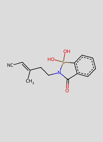 C/C(=C\C#N)CCN1C(=O)c2ccccc2S1(O)O